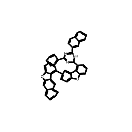 c1ccc(C2=NC(c3cccc4oc5ccc(-c6cccc7oc8cc9ccccc9cc8c67)cc5c34)NC(c3ccc4ccccc4c3)=N2)cc1